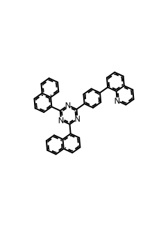 c1ccc2c(-c3nc(-c4ccc(-c5cccc6cccnc56)cc4)nc(-c4cccc5ccccc45)n3)cccc2c1